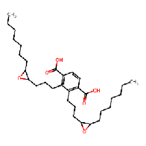 CCCCCCCC1OC1CCCc1c(C(=O)O)ccc(C(=O)O)c1CCCC1OC1CCCCCCC